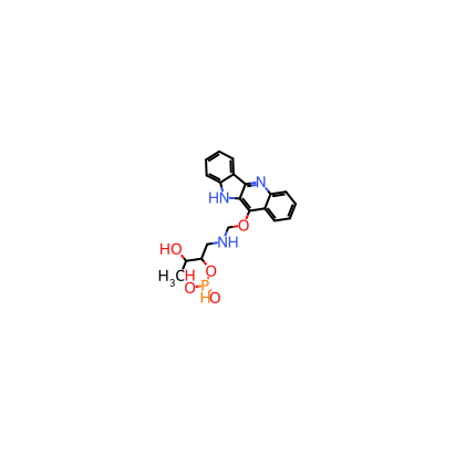 CC(O)C(CNCOc1c2ccccc2nc2c1[nH]c1ccccc12)O[PH](=O)O